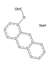 O=COc1cccc2cc3ccccc3cc12.[NaH]